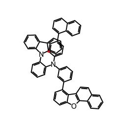 c1cc(-c2cccc3oc4c5ccccc5ccc4c23)cc(N(c2ccc(-c3cccc4ccccc34)cc2)c2ccccc2-n2c3ccccc3c3ccccc32)c1